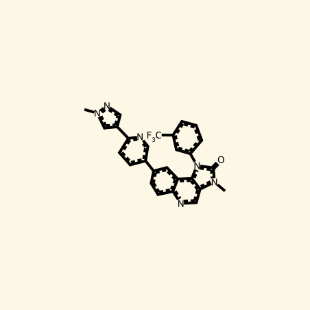 Cn1cc(-c2ccc(-c3ccc4ncc5c(c4c3)n(-c3cccc(C(F)(F)F)c3)c(=O)n5C)cn2)cn1